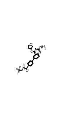 Nc1nc(O[C@@H]2CCOC2)c2cc(-c3ccc(C(=O)NCC(F)(F)F)cc3)ccc2n1